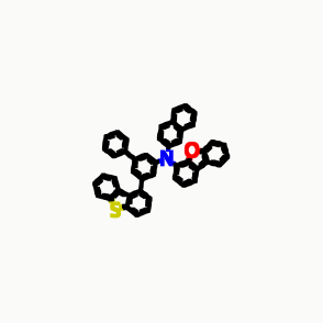 c1ccc(-c2cc(-c3cccc4sc5ccccc5c34)cc(N(c3ccc4ccccc4c3)c3cccc4c3oc3ccccc34)c2)cc1